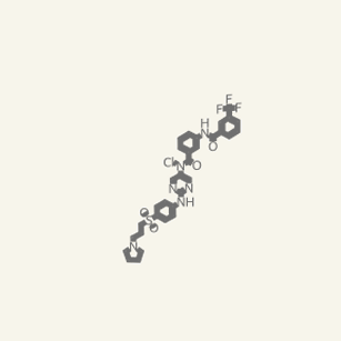 O=C(Nc1cccc(C(=O)N(Cl)c2cnc(Nc3ccc(S(=O)(=O)CCCN4CCCC4)cc3)nc2)c1)c1cccc(C(F)(F)F)c1